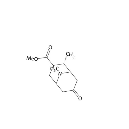 COC(=O)C1CC2CC(=O)CC([C@H]1C)N2C